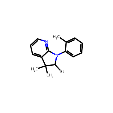 CCC1N(c2ccccc2C)c2ncccc2C1(C)C